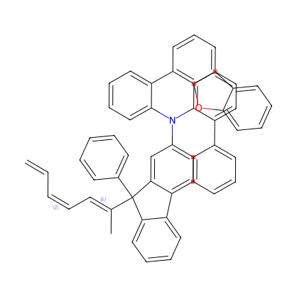 C=C/C=C\C=C(/C)C1(c2ccccc2)c2ccccc2-c2ccc(N(c3ccccc3-c3ccccc3)c3ccccc3-c3cccc4c3oc3ccccc34)cc21